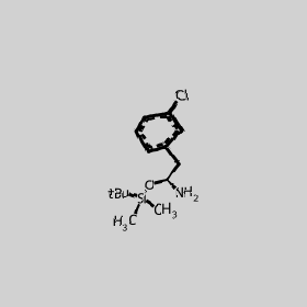 CC(C)(C)[Si](C)(C)O[C@H](N)Cc1cccc(Cl)c1